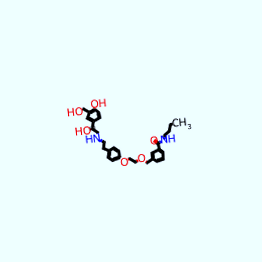 CCCCNC(=O)c1cccc(COCCOc2ccc(CCNC[C@@H](O)c3ccc(O)c(CO)c3)cc2)c1